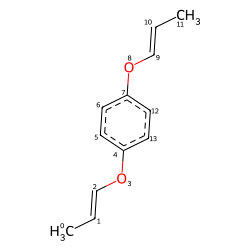 CC=COc1ccc(OC=CC)cc1